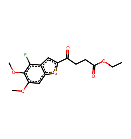 CCOC(=O)CCC(=O)c1cc2c(F)c(OC)c(OC)cc2s1